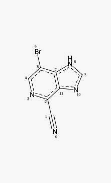 N#Cc1ncc(Br)c2[nH]cnc12